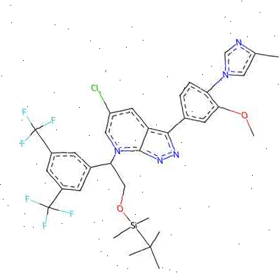 COc1cc(-c2nnc3n(C(CO[Si](C)(C)C(C)(C)C)c4cc(C(F)(F)F)cc(C(F)(F)F)c4)cc(Cl)cc2-3)ccc1-n1cnc(C)c1